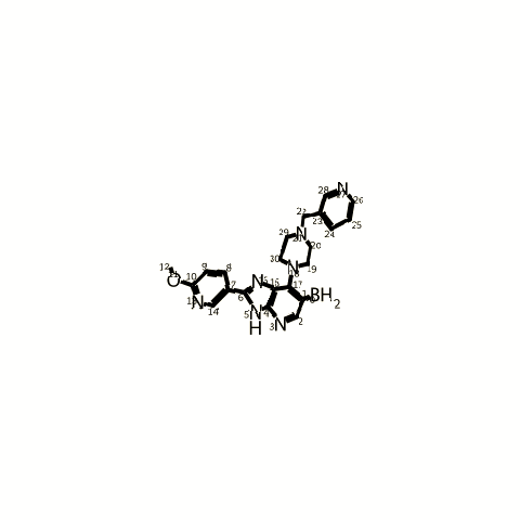 Bc1cnc2[nH]c(-c3ccc(OC)nc3)nc2c1N1CCN(Cc2cccnc2)CC1